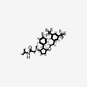 CC(C)NC(=O)CN(C)C1CCC(OCCc2cc(C(F)(F)F)cc(C(F)(F)F)c2)C1c1ccc(F)cc1